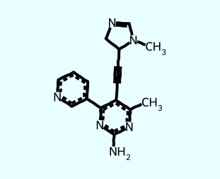 Cc1nc(N)nc(-c2cccnc2)c1C#CC1CN=CN1C